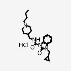 CCCCN1CCC(CNC(=O)n2c(=O)n(CC3CC3)c3ccccc32)CC1.Cl